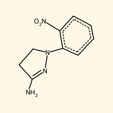 NC1=NN(c2ccccc2[N+](=O)[O-])CC1